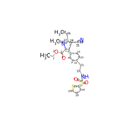 CCOC(=O)c1c(-c2ccc(CCNS(=O)(=O)c3cccs3)cc2)c(C#N)c(CC)n1C